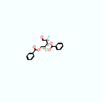 O=C[C@@H](F)[C@H](OC(=O)c1ccccc1)[C@@H](Cl)COC(=O)c1ccccc1